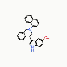 COc1ccc2[nH]cc(CCN(Cc3ccccc3)c3cccc4ccccc34)c2c1